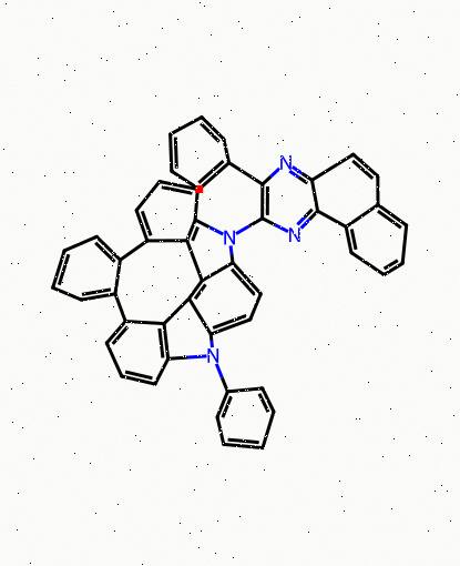 c1ccc(-c2nc3ccc4ccccc4c3nc2-n2c3cccc4c5ccccc5c5cccc6c5c5c(c43)c2ccc5n6-c2ccccc2)cc1